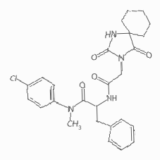 CN(C(=O)C(Cc1ccccc1)NC(=O)CN1C(=O)NC2(CCCCC2)C1=O)c1ccc(Cl)cc1